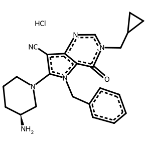 Cl.N#Cc1c(N2CCC[C@H](N)C2)n(Cc2ccccc2)c2c(=O)n(CC3CC3)cnc12